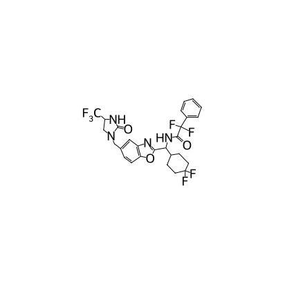 O=C1NC(C(F)(F)F)CN1Cc1ccc2oc(C(NC(=O)C(F)(F)c3ccccc3)C3CCC(F)(F)CC3)nc2c1